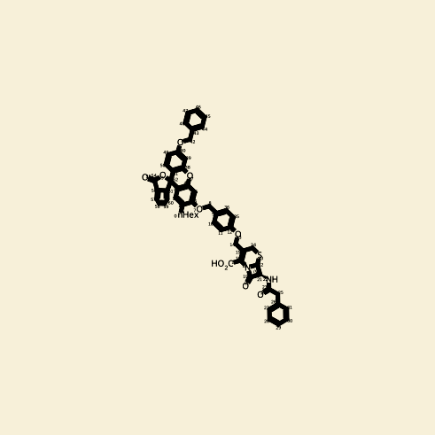 CCCCCCc1cc2c(cc1OCc1ccc(OCC3=C(C(=O)O)N4C(=O)[C@H](NC(=O)Cc5ccccc5)C4SC3)cc1)Oc1cc(OCc3ccccc3)ccc1C21OC(=O)c2ccccc21